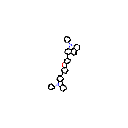 c1ccc(-n2c3ccccc3c3cc(-c4ccc5c(c4)oc4cc(-c6ccc7c8c6ccc6cccc(c68)n7-c6ccccc6)ccc45)ccc32)cc1